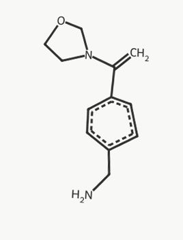 C=C(c1ccc(CN)cc1)N1CCOC1